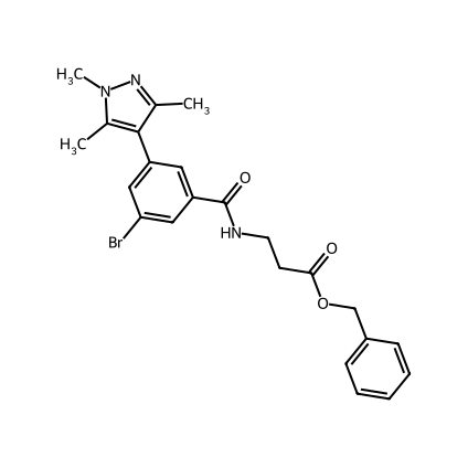 Cc1nn(C)c(C)c1-c1cc(Br)cc(C(=O)NCCC(=O)OCc2ccccc2)c1